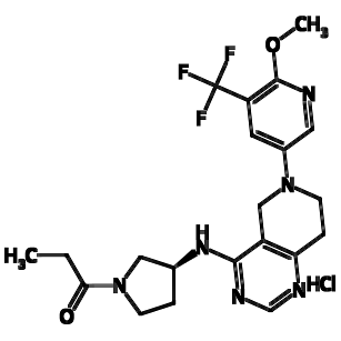 CCC(=O)N1CC[C@H](Nc2ncnc3c2CN(c2cnc(OC)c(C(F)(F)F)c2)CC3)C1.Cl